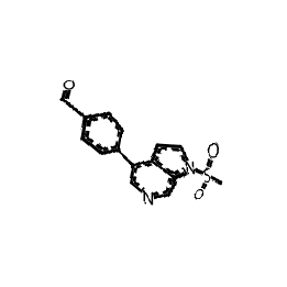 CS(=O)(=O)n1ccc2c(-c3ccc(C=O)cc3)cncc21